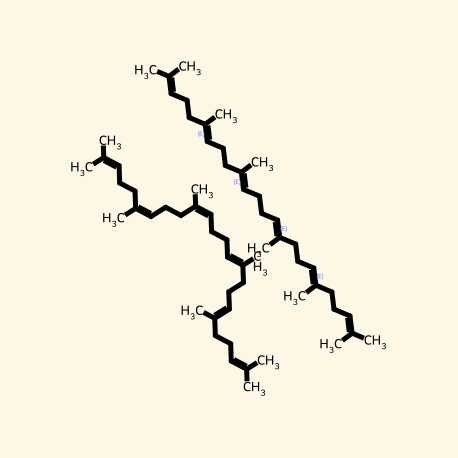 CC(C)=CCC/C(C)=C/CC/C(C)=C/CC/C=C(\C)CC/C=C(\C)CCC=C(C)C.CC(C)=CCCC(C)=CCCC(C)=CCCC=C(C)CCC=C(C)CCC=C(C)C